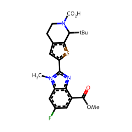 COC(=O)c1cc(F)cc2c1nc(-c1cc3c(s1)C(C(C)(C)C)N(C(=O)O)CC3)n2C